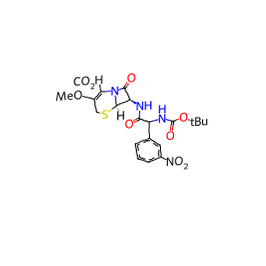 COC1=C(C(=O)O)N2C(=O)[C@@H](NC(=O)C(NC(=O)OC(C)(C)C)c3cccc([N+](=O)[O-])c3)[C@H]2SC1